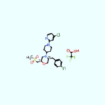 CS(=O)(=O)C[C@H]1CN(C2CCN(c3cc(Cl)ccn3)CC2)[C@@H](Cc2ccc(Cl)cc2)CO1.O=C(O)C(F)(F)F